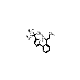 CCC(O)c1ccccc1-c1ccc(C(C)(C)C)s1